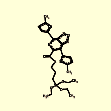 CCO[Si](CCCSC(=O)c1nc(-c2ccc(C)s2)c2nonc2c1-c1ccc(C)s1)(OCC)OCC